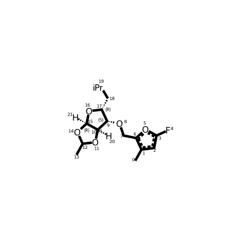 Cc1cc(F)oc1CO[C@@H]1[C@H]2OC(C)O[C@H]2O[C@@H]1CC(C)C